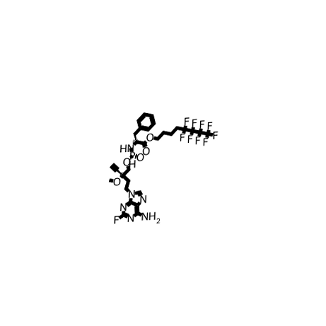 C#C[C@](CCn1cnc2c(N)nc(F)nc21)(CO[PH](=O)N[C@@H](Cc1ccccc1)C(=O)OCCCCC(F)(F)C(F)(F)C(F)(F)C(F)(F)F)OC